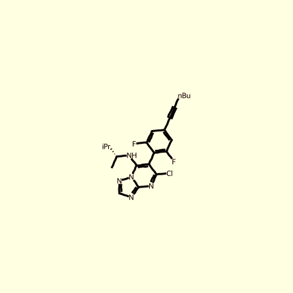 CCCCC#Cc1cc(F)c(-c2c(Cl)nc3ncnn3c2N[C@H](C)C(C)C)c(F)c1